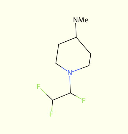 CNC1CCN(C(F)C(F)F)CC1